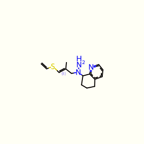 C=CS/C=C(\C)CN(N)C1CCCc2cccnc21